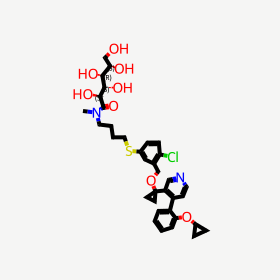 CN(CCCCSc1ccc(Cl)c(COC2(c3cnccc3-c3ccccc3OC3CC3)CC2)c1)C(=O)[C@@H](O)[C@@H](O)[C@H](O)[C@@H](O)CO